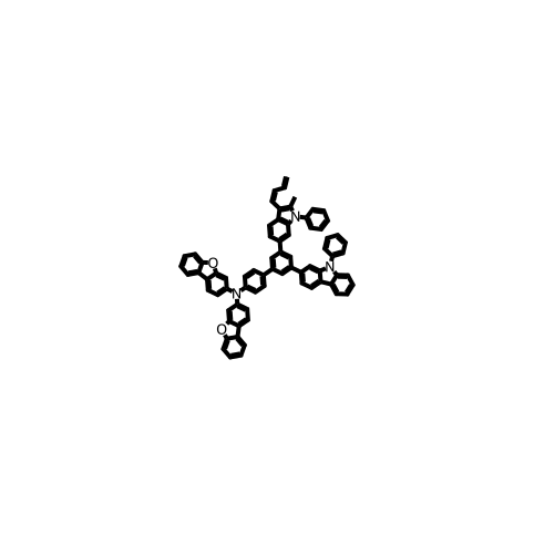 C=C/C=C\c1c(C)n(-c2ccccc2)c2cc(-c3cc(-c4ccc(N(c5ccc6c(c5)oc5ccccc56)c5ccc6c(c5)oc5ccccc56)cc4)cc(-c4ccc5c6ccccc6n(-c6ccccc6)c5c4)c3)ccc12